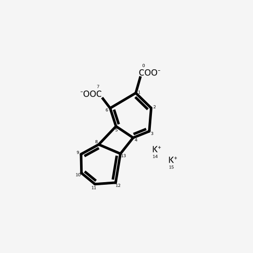 O=C([O-])c1ccc2c(c1C(=O)[O-])-c1ccccc1-2.[K+].[K+]